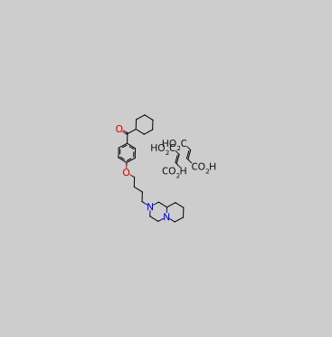 O=C(O)/C=C/C(=O)O.O=C(O)/C=C/C(=O)O.O=C(c1ccc(OCCCCN2CCN3CCCCC3C2)cc1)C1CCCCC1